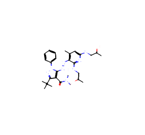 Cc1cc(NCC(C)O)nc(NCC(C)O)c1N=Nc1c(C(=O)N(C)C)c(C(C)(C)C)nn1-c1ccccc1